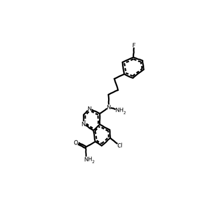 NC(=O)c1cc(Cl)cc2c(N(N)CCCc3cccc(F)c3)ncnc12